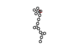 C1=C(c2ccc(-c3ccc(-c4ccc(-n5c6ccccc6c6cc(-c7ccc8c(c7)c7ccccc7n8-c7ccc(-c8ccccc8)cc7)ccc65)cc4)cc3)cc2)C=C(c2ccccc2C2(c3ccccc3)c3ccccc3-c3ccccc32)CC1